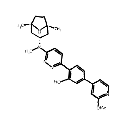 COc1cc(-c2ccc(-c3ccc(N(C)[C@@H]4C[C@]5(C)CC[C@](C)(C4)N5)nn3)c(O)c2)ccn1